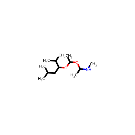 CNC(C)OC(C)OC(CC(C)C)C(C)C